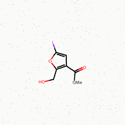 COC(=O)c1cc(I)oc1CO